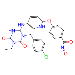 CCN1C(=O)NC(NC2=CNC(Oc3ccc(C(=O)N=O)cc3)C=C2)N(Cc2ccc(Cl)cc2)C1=O